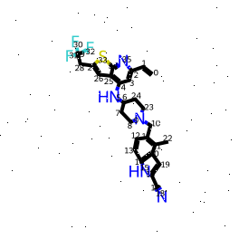 C=Cc1cc(NC2CCN(Cc3ccc4[nH]c(C#N)cc4c3C)CC2)c2cc(CC(F)(F)F)sc2n1